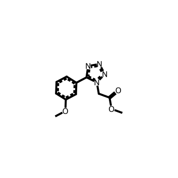 COC(=O)Cn1nnnc1-c1cccc(OC)c1